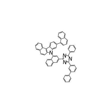 c1ccc(-c2cccc(-c3nc(-c4ccccc4)nc(-c4cc(-n5c6cc(-c7cccc8ccccc78)ccc6c6c7ccccc7ccc65)c5ccccc5c4)n3)c2)cc1